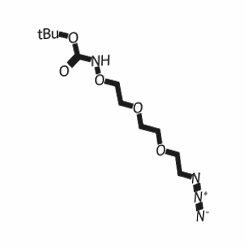 CC(C)(C)OC(=O)NOCCOCCOCCN=[N+]=[N-]